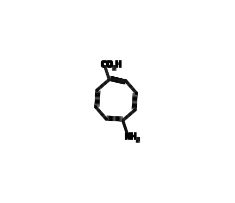 NC1=C/C=C\C(C(=O)O)=C/C=C\1